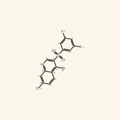 O=S(=O)(c1cc(F)cc(F)c1)c1cnc2cc(Cl)ccc2c1Br